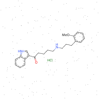 COc1ccccc1CCCNCCCCC(=O)c1c[nH]c2ccccc12.Cl